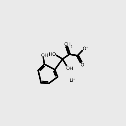 C=C(C(=O)[O-])C(O)(O)c1ccccc1O.[Li+]